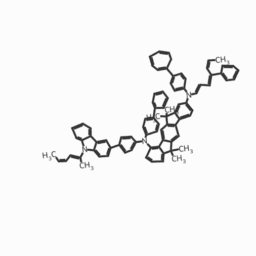 C/C=C\C=C(/C)n1c2ccccc2c2cc(-c3ccc(N(c4ccc(-c5ccccc5)cc4)c4cccc5c4-c4cc6c(cc4C5(C)C)-c4ccc(N(/C=C/C=C(\C=C/C)c5ccccc5)c5ccc(C7=CC=CC=CC7)cc5)cc4C6(C)C)cc3)ccc21